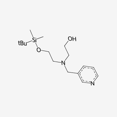 CC(C)(C)[Si](C)(C)OCCN(CCO)Cc1cccnc1